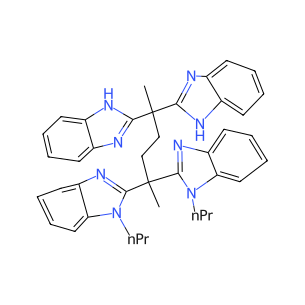 CCCn1c(C(C)(CCC(C)(c2nc3ccccc3[nH]2)c2nc3ccccc3[nH]2)c2nc3ccccc3n2CCC)nc2ccccc21